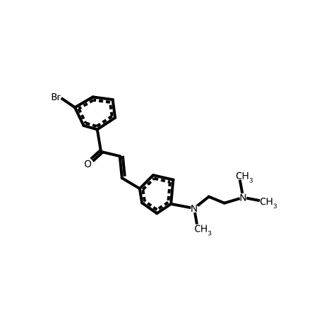 CN(C)CCN(C)c1ccc(C=CC(=O)c2cccc(Br)c2)cc1